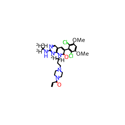 [2H]C([2H])([2H])Nc1ncc2cc(-c3c(Cl)c(OC)cc(OC)c3Cl)c(=O)n(C([2H])([2H])CCN3CCN(C(=O)C=C)CC3)c2n1